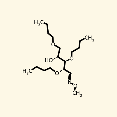 CCCCOC[C@@H](O)[C@@H](OCCCC)[C@H](/C=N/OC)OCCCC